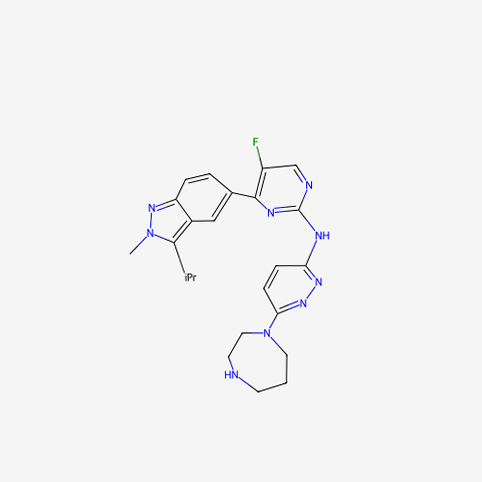 CC(C)c1c2cc(-c3nc(Nc4ccc(N5CCCNCC5)nn4)ncc3F)ccc2nn1C